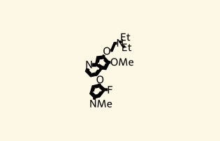 CCN(CC)CCOc1cc2nccc(Oc3ccc(NC)cc3F)c2cc1OC